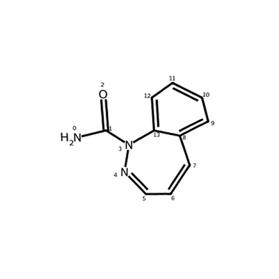 NC(=O)N1N=CC=Cc2ccccc21